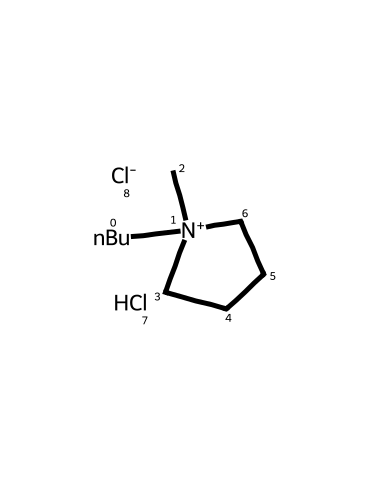 CCCC[N+]1(C)CCCC1.Cl.[Cl-]